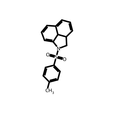 Cc1ccc(S(=O)(=O)N2CC3C=CC=C4C=CC=C2C43)cc1